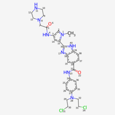 Cn1cc(NC(=O)CN2CCNCC2)cc1-c1nc2cc(C(=O)Nc3ccc(N(CCCl)CCCl)cc3)ccc2[nH]1